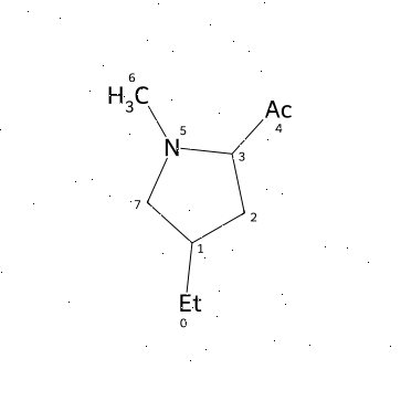 CCC1CC(C(C)=O)N(C)C1